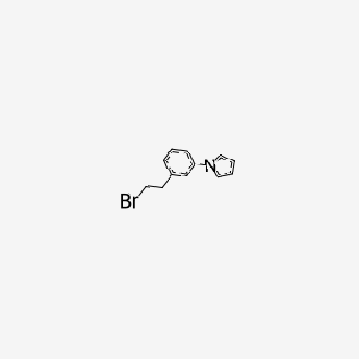 BrCCc1cccc(-n2cccc2)c1